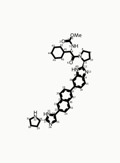 COC(=O)N[C@H](C(=O)N1CCC[C@H]1c1nc2ccc(-c3ccc4cc(-c5cnc([C@@H]6CCCN6)[nH]5)ccc4c3)cc2[nH]1)C1CCCCC1